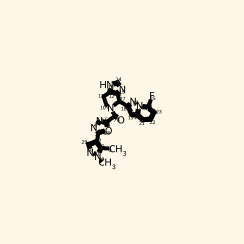 Cc1c(-c2nnc(C(=O)N3CCc4[nH]cnc4C3c3cc4cccc(F)n4n3)o2)cnn1C